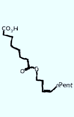 CCCCC/C=C\CCOC(=O)CCCCCCC(=O)O